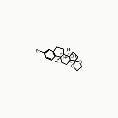 CCc1ccc2c(c1)CC[C@@H]1[C@@H]2CC[C@@]2(C)[C@H]1CCC21OCCO1